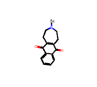 CC(=O)N1CCC2=C(CC1)C(=O)c1ccccc1C2=O